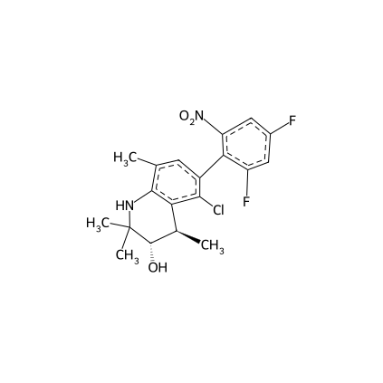 Cc1cc(-c2c(F)cc(F)cc2[N+](=O)[O-])c(Cl)c2c1NC(C)(C)[C@@H](O)[C@@H]2C